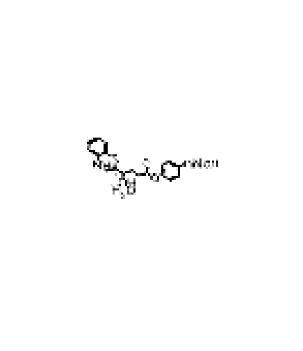 CCCCCCCCCc1ccc(OC(=O)CCC(O)C(C)Sc2ccccc2N)cc1.O